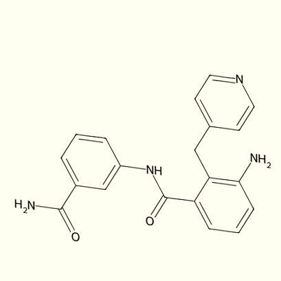 NC(=O)c1cccc(NC(=O)c2cccc(N)c2Cc2ccncc2)c1